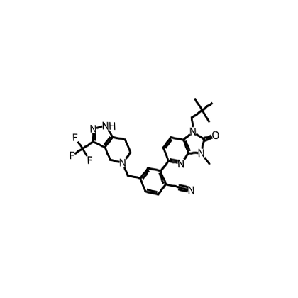 Cn1c(=O)n(CC(C)(C)C)c2ccc(-c3cc(CN4CCc5[nH]nc(C(F)(F)F)c5C4)ccc3C#N)nc21